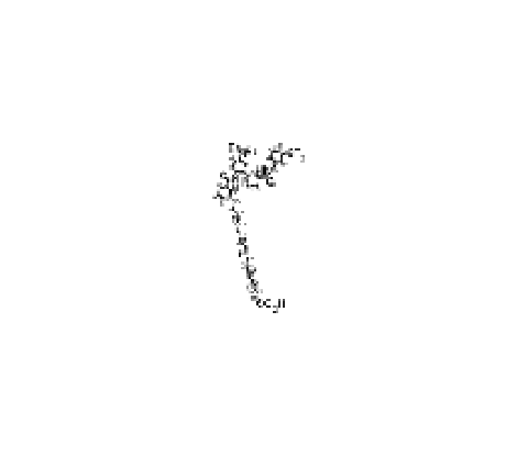 CCN(CC)c1ccc(NC(=O)c2cccc(CCCOCCOCCOCCOCCOCCC(=O)O)c2)c(-c2cc(C(=O)NCc3cccc(C(F)(F)F)c3)ccn2)c1